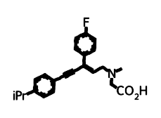 CC(C)c1ccc(C#CC(=CCN(C)CC(=O)O)c2ccc(F)cc2)cc1